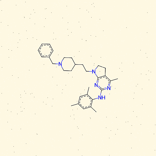 Cc1cc(C)c(Nc2nc(C)c3c(n2)N(CCC2CCN(Cc4ccccc4)CC2)CC3)c(C)c1